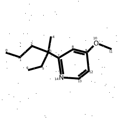 CCCC(C)(CC)c1cc(OC)ccn1